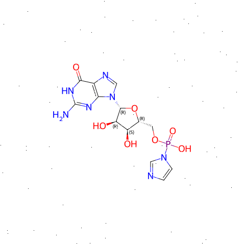 Nc1nc2c(ncn2[C@@H]2O[C@H](COP(=O)(O)n3ccnc3)[C@@H](O)[C@H]2O)c(=O)[nH]1